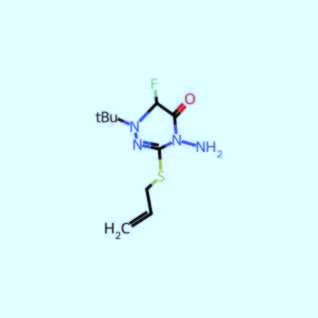 C=CCSC1=NN(C(C)(C)C)C(F)C(=O)N1N